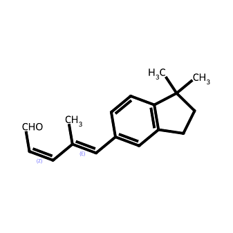 CC(/C=C\C=O)=C\c1ccc2c(c1)CCC2(C)C